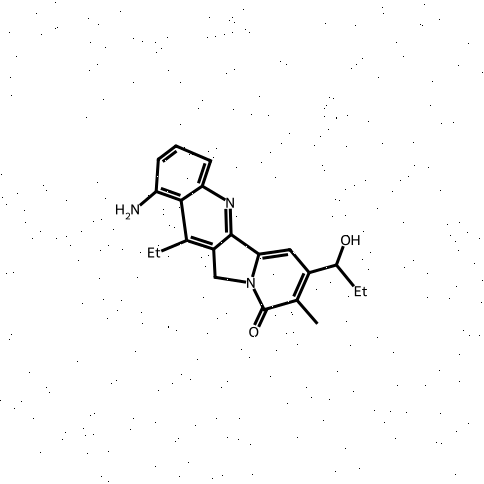 CCc1c2c(nc3cccc(N)c13)-c1cc(C(O)CC)c(C)c(=O)n1C2